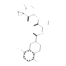 COc1ccc(OC)c2c1CCC(C(=O)N[C@@H](CO)C(=O)N[C@@H](CC(C)C)C(=O)[C@@]1(CO)CO1)C2